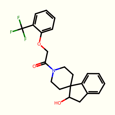 O=C(COc1ccccc1C(F)(F)F)N1CCC2(CC1)c1ccccc1CC2O